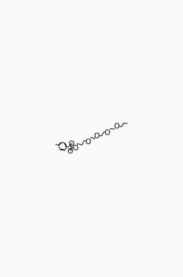 CCCOCCOCCOCCOCCCOS(=O)(=O)c1ccc(C)cc1